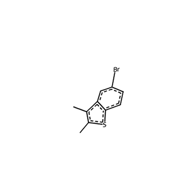 Cc1sc2ccc(Br)cc2c1C